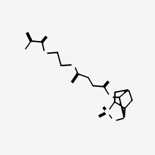 C=C(F)C(=O)OCCOC(=O)CCC(=O)OC1C2CC3C1OS(=O)(=O)C3C2